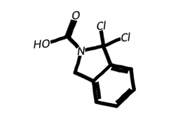 O=C(O)N1Cc2ccccc2C1(Cl)Cl